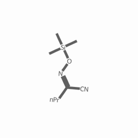 CCCC(C#N)=NO[Si](C)(C)C